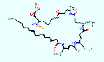 O=C(O)CCCCCCCCCCCCC(=O)N[C@@H](CCC(=O)N[C@@H](CCC(=O)N[C@@H](CCC(=O)N[C@@H](CCC(=O)NCCCC[C@H](NP)C1OC1O)C(=O)O)C(=O)O)C(=O)O)C(=O)O